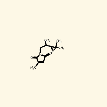 CC1=CC(=O)N(CC(C)C2OC2(C)C)C1=O